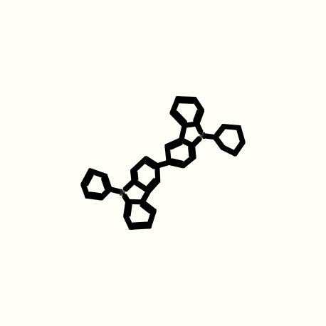 c1ccc(-n2c3ccccc3c3cc(-c4ccc5c(c4)c4ccccc4n5C4CCCCC4)ccc32)cc1